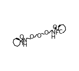 O=C(NCCOCCOCCOCCNC(=O)C1(F)C#CCCCCC1)C1(F)C#CCCCCC1